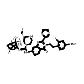 COc1ccc(CCn2c(-c3cnccn3)nc3cc(N/C(=N/[C@H]4C[C@H]5C[C@@H]([C@@H]4C)C5(C)C)N4CCN[C@@H](CF)C4)ccc3c2=O)c(F)c1